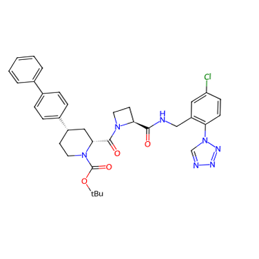 CC(C)(C)OC(=O)N1CC[C@H](c2ccc(-c3ccccc3)cc2)C[C@@H]1C(=O)N1CC[C@H]1C(=O)NCc1cc(Cl)ccc1-n1cnnn1